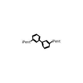 CCCC(C)c1cccc(-c2cccc(C(C)CCC)c2)c1